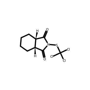 O=C1[C@H]2CCCC[C@H]2C(=O)N1SC(Cl)(Cl)Cl